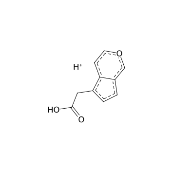 O=C(O)Cc1ccc2coccc1-2.[H+]